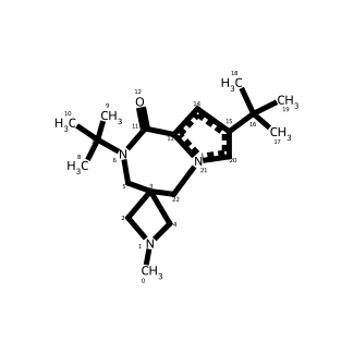 CN1CC2(C1)CN(C(C)(C)C)C(=O)c1cc(C(C)(C)C)cn1C2